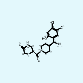 NC(c1cc(Cl)c(Cl)cc1O)C1CCN(C(=O)[C@@H]2CNC(=O)CO2)CC1